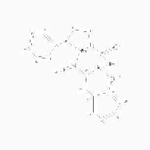 O=C(O)C1CCC(c2ccccc2)N1C(=O)C1COc2ccccc2C1